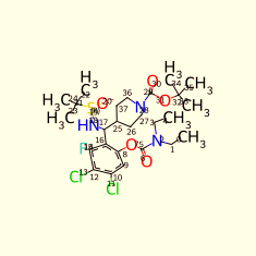 CCN(CC)C(=O)Oc1cc(Cl)c(Cl)c(F)c1C(N[S@@+]([O-])C(C)(C)C)C1CCN(C(=O)OC(C)(C)C)CC1